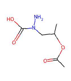 CC(=O)OC(C)CN(N)C(=O)O